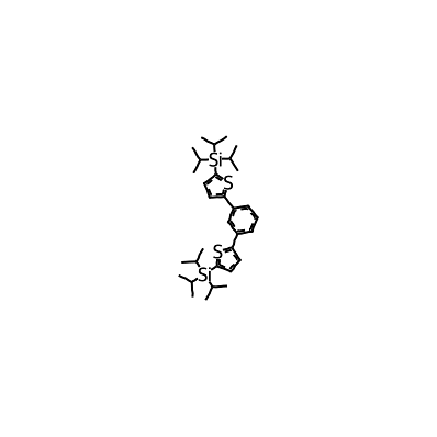 CC(C)[Si](c1ccc(-c2cccc(-c3ccc([Si](C(C)C)(C(C)C)C(C)C)s3)c2)s1)(C(C)C)C(C)C